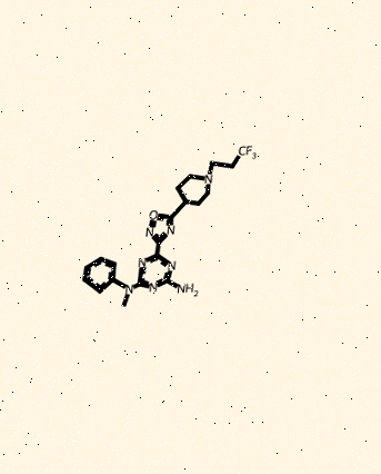 CN(c1ccccc1)c1nc(N)nc(-c2noc(C3CCN(CCC(F)(F)F)CC3)n2)n1